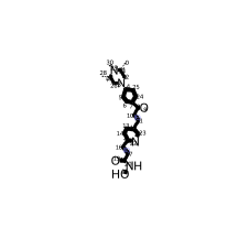 C[C@@H]1CN(c2ccc(C(=O)/C=C/c3ccc(/C=C/C(=O)NO)nc3)cc2)C[C@H](C)N1C